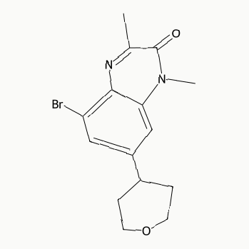 Cc1nc2c(Br)cc(C3CCOCC3)cc2n(C)c1=O